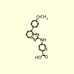 COc1ccc(-c2cccn3nc(Nc4ccc(C(=O)O)nc4)nc23)cc1